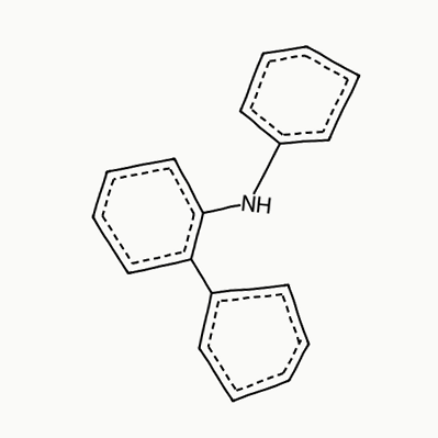 c1ccc(Nc2ccccc2-c2ccccc2)cc1